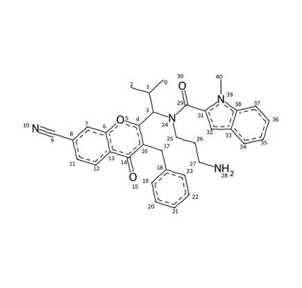 CC(C)C(c1oc2cc(C#N)ccc2c(=O)c1Cc1ccccc1)N(CCCN)C(=O)c1cc2ccccc2n1C